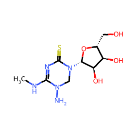 CNC1=NC(=S)N([C@@H]2O[C@H](CO)[C@@H](O)[C@H]2O)CN1N